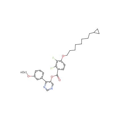 CCCCCCCCOc1cccc(-c2ncncc2OC(=O)c2ccc(OCCCCCCCCC3CC3)c(F)c2F)c1